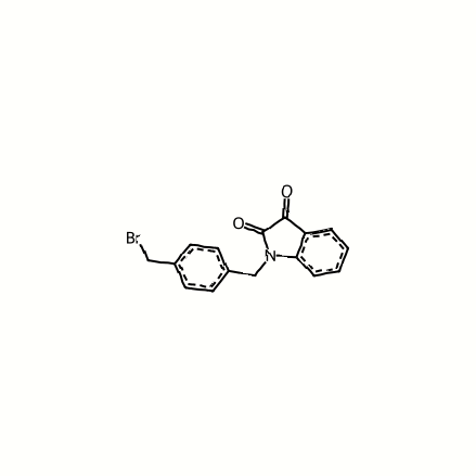 O=C1C(=O)N(Cc2ccc(CBr)cc2)c2ccccc21